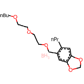 B.CCCCOCCOCCOCc1cc2c(cc1CCC)OCO2